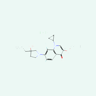 CNCC1(O)CCN(c2c(F)cc3c(=O)c(OC(=O)O)cn(C4CC4)c3c2F)C1.Cl